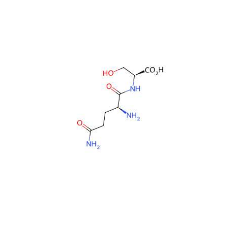 NC(=O)CC[C@H](N)C(=O)N[C@@H](CO)C(=O)O